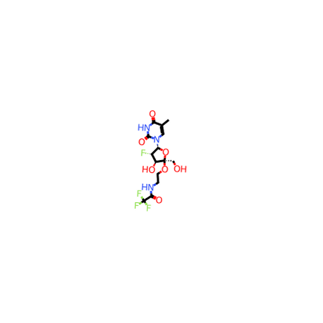 Cc1cn([C@@H]2O[C@@](CO)(OCCNC(=O)C(F)(F)F)[C@@H](O)[C@@H]2F)c(=O)[nH]c1=O